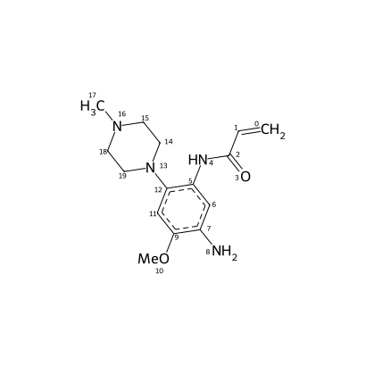 C=CC(=O)Nc1cc(N)c(OC)cc1N1CCN(C)CC1